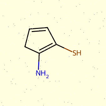 NC1=C(S)C=CC1